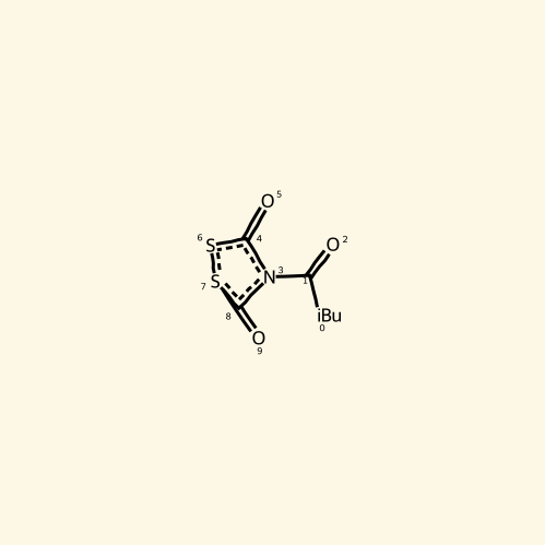 CCC(C)C(=O)n1c(=O)ssc1=O